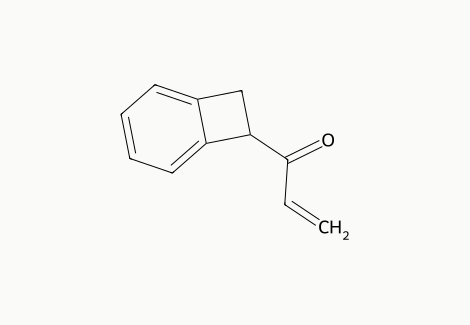 C=CC(=O)C1Cc2ccccc21